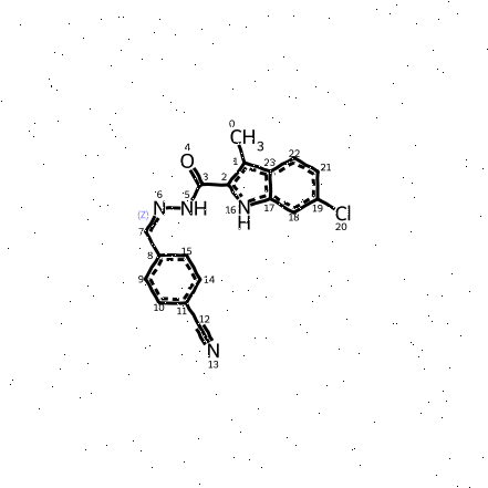 Cc1c(C(=O)N/N=C\c2ccc(C#N)cc2)[nH]c2cc(Cl)ccc12